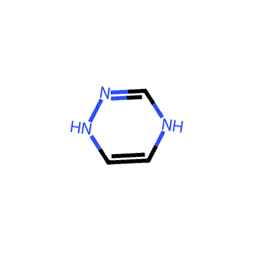 C1=CNN=CN1